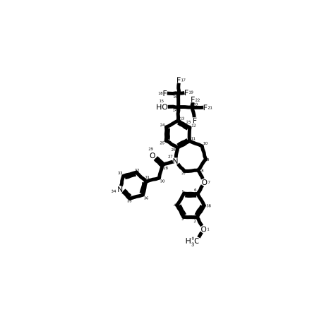 COc1cccc(OC2CCc3cc(C(O)(C(F)(F)F)C(F)(F)F)ccc3N(C(=O)Cc3ccncc3)C2)c1